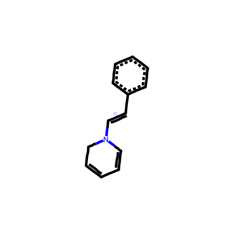 C1=CCN(/C=C/c2ccccc2)C=C1